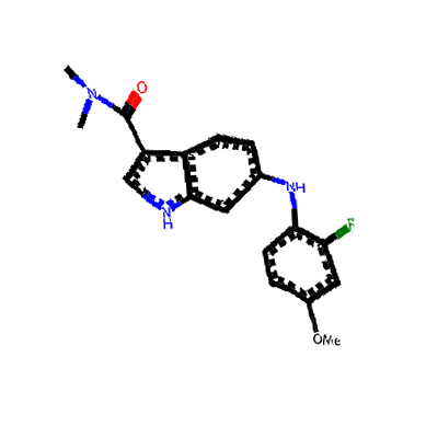 COc1ccc(Nc2ccc3c(C(=O)N(C)C)c[nH]c3c2)c(F)c1